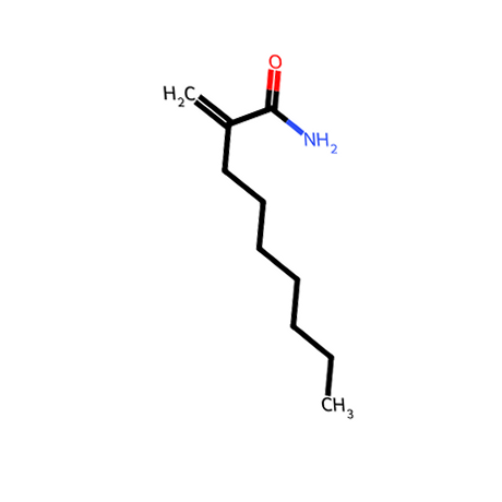 C=C(CCCCCCC)C(N)=O